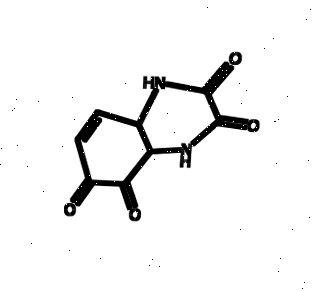 O=C1C=CC2NC(=O)C(=O)NC2C1=O